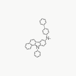 CN(c1ccc(-c2ccccc2)cc1)c1ccc2c(c1)c1ccc3ccccc3c1n2-c1ccccc1